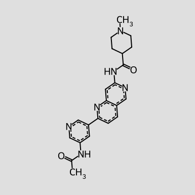 CC(=O)Nc1cncc(-c2ccc3cnc(NC(=O)C4CCN(C)CC4)cc3n2)c1